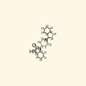 CC1CC(n2c(=O)[nH]c3ccccc32)CCN1C1CCc2ccccc21